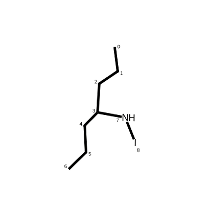 CCCC(CCC)NI